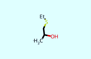 [CH2]C(O)CSCC